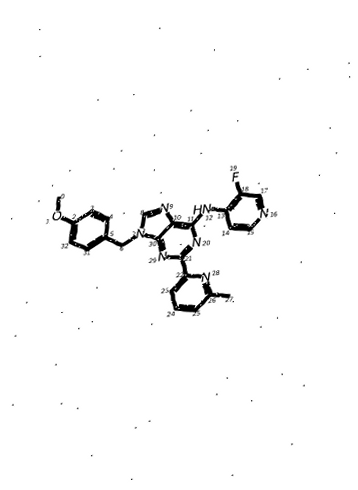 COc1ccc(Cn2cnc3c(Nc4ccncc4F)nc(-c4cccc(C)n4)nc32)cc1